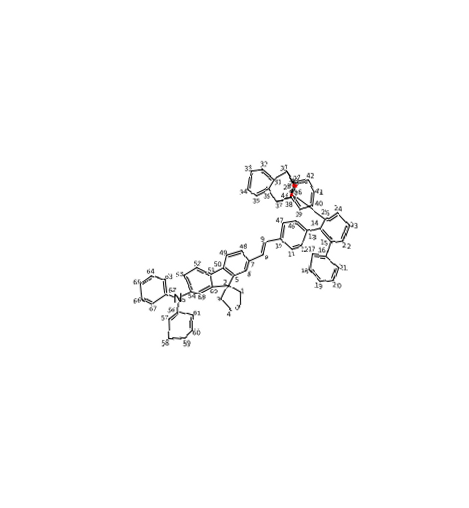 CCC1(CC)c2cc(/C=C/c3ccc(-c4c(-c5ccccc5)cccc4C4C=CC5C6c7ccccc7C(c7ccccc76)C5C4)cc3)ccc2-c2ccc(N(C3=CCCC=C3)c3ccccc3)cc21